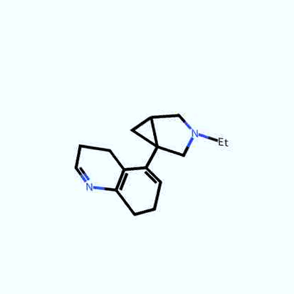 CCN1CC2CC2(C2=CCCC3=C2CCC=N3)C1